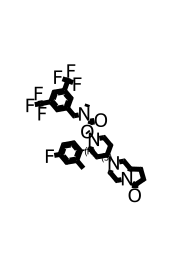 Cc1cc(F)ccc1[C@H]1C[C@@H](N2CCN3C(=O)CCC3C2)CCN1OC(=O)N(C)Cc1cc(C(F)(F)F)cc(C(F)(F)F)c1